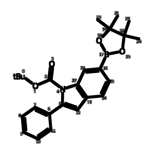 CC(C)(C)OC(=O)n1c(-c2ccccc2)cc2ccc(B3OC(C)(C)C(C)(C)O3)cc21